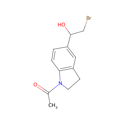 CC(=O)N1CCc2cc(C(O)CBr)ccc21